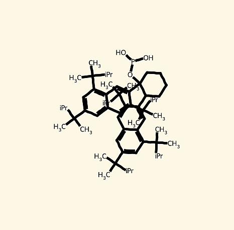 CC(C)C(C)(C)c1cc(C(C)(C)C(C)C)c2cc(C3CCCCC3(OP(O)O)c3cc4c(C(C)(C)C(C)C)cc(C(C)(C)C(C)C)cc4cc3C(C)(C)C(C)C)c(C(C)(C)C(C)C)cc2c1